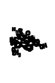 COc1ccc(-c2cccc(C(CC(=O)O)NC(=O)Nc3c(O)c(C)cn(C)c3=O)c2)cc1OC